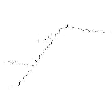 CCCCCCCCCCCOC(=O)C(O)(O)CCCCN(CCCCCCCC(=O)OC(CCCCCCCC)CCCCCCCC)C(O)C(O)(O)O